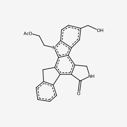 CC(=O)OCCn1c2ccc(CO)cc2c2c3c(c4c(c21)Cc1ccccc1-4)C(=O)NC3